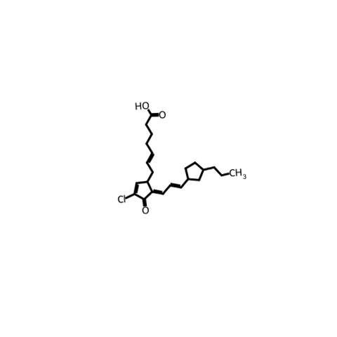 CCCC1CCC(C=CC=C2C(=O)C(Cl)=CC2CC=CCCCC(=O)O)C1